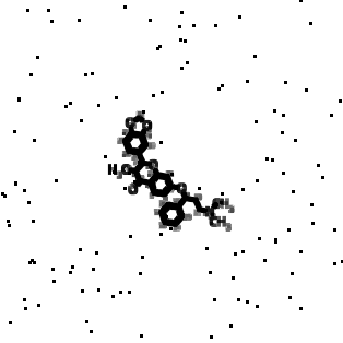 CC1C(=O)c2ccc(OC(CCN(C)C)c3ccccc3)cc2OC1c1ccc2c(c1)OCO2